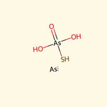 O=[As](O)(O)S.[As]